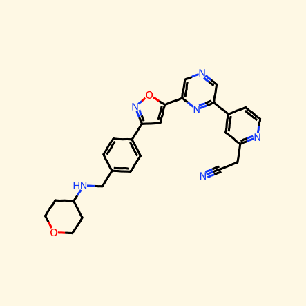 N#CCc1cc(-c2cncc(-c3cc(-c4ccc(CNC5CCOCC5)cc4)no3)n2)ccn1